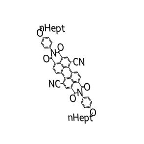 CCCCCCCOc1ccc(N2C(=O)c3ccc4c5c(C#N)cc6c7c(ccc(c8c(C#N)cc(c3c48)C2=O)c75)C(=O)N(c2ccc(OCCCCCCC)cc2)C6=O)cc1